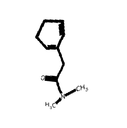 CN(C)C(=O)CC1=CCCC=C1